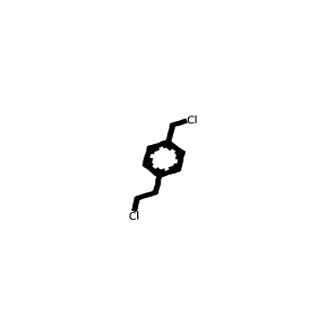 ClCCc1ccc(CCl)cc1